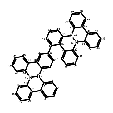 c1ccc2c(c1)B1c3ccc(-c4cccc5c4-c4ccccc4N4B5c5ccccc5-c5ccccc54)cc3-c3ccccc3N1c1ccccc1-2